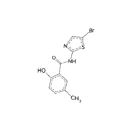 Cc1ccc(O)c(C(=O)Nc2ncc(Br)s2)c1